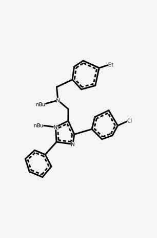 CCCCN(Cc1ccc(CC)cc1)Cc1c(-c2ccc(Cl)cc2)nc(-c2ccccc2)n1CCCC